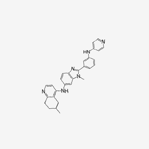 CC1CCc2nccc(Nc3ccc4nc(-c5cccc(Nc6ccncc6)c5)n(C)c4c3)c2C1